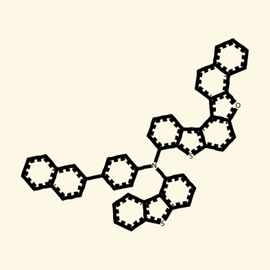 c1ccc2cc(-c3ccc(N(c4cccc5c4sc4ccc6oc7c8ccccc8ccc7c6c45)c4cccc5sc6ccccc6c45)cc3)ccc2c1